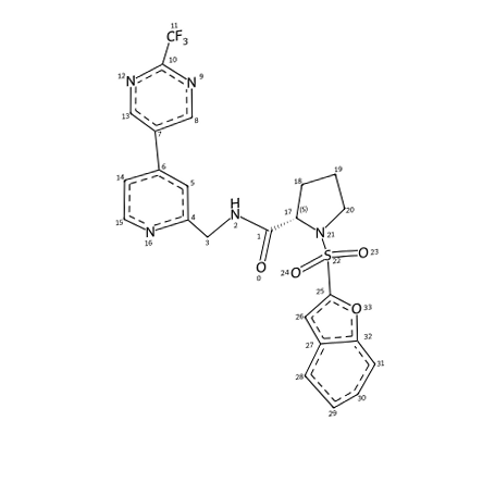 O=C(NCc1cc(-c2cnc(C(F)(F)F)nc2)ccn1)[C@@H]1CCCN1S(=O)(=O)c1cc2ccccc2o1